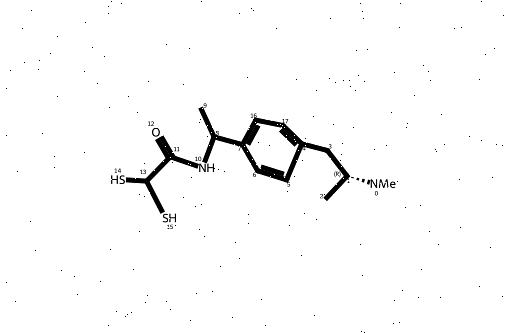 CN[C@H](C)Cc1ccc(C(C)NC(=O)C(S)S)cc1